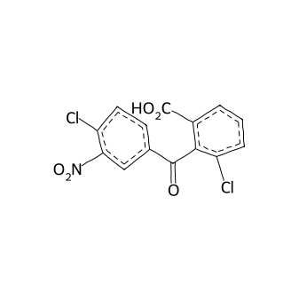 O=C(O)c1cccc(Cl)c1C(=O)c1ccc(Cl)c([N+](=O)[O-])c1